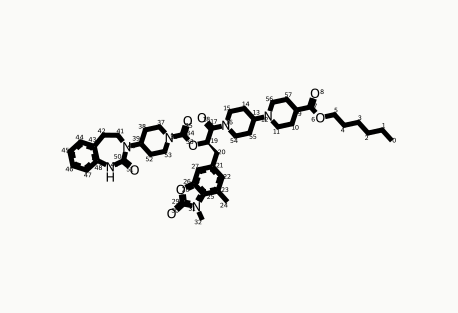 CCCCCCOC(=O)C1CCN(C2CCN(C(=O)[C@@H](Cc3cc(C)c4c(c3)oc(=O)n4C)OC(=O)N3CCC(N4CCc5ccccc5NC4=O)CC3)CC2)CC1